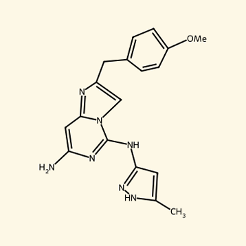 COc1ccc(Cc2cn3c(Nc4cc(C)[nH]n4)nc(N)cc3n2)cc1